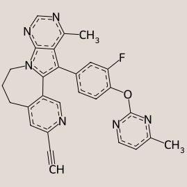 C#Cc1cc2c(cn1)-c1c(-c3ccc(Oc4nccc(C)n4)c(F)c3)c3c(C)ncnc3n1CCC2